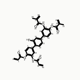 C=CC(=O)Oc1ccc(-c2ccc(-c3ccc(OC(=O)C(=C)C)c(OC(=O)C(=C)C)c3)cc2F)cc1OC(=O)C=C